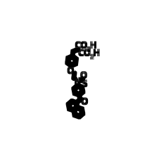 O=C(c1ccc2c(c1)sc(=O)n2CCOc1ccc(CC(C(=O)O)C(=O)O)cc1)c1cccc2ccccc12